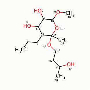 CCCC1C(O)C(O)C(OC)OC1(C)OCCC(C)O